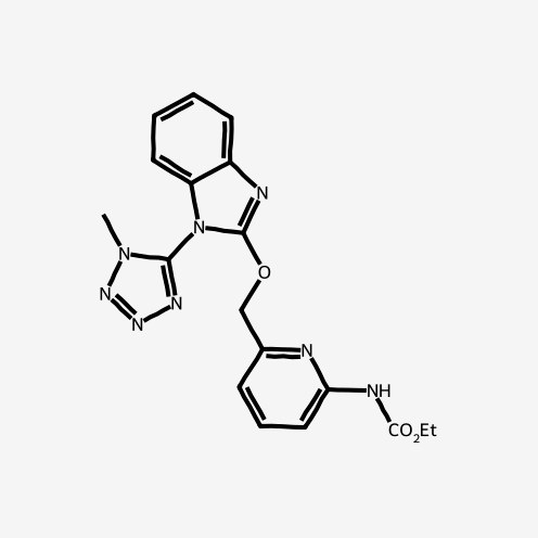 CCOC(=O)Nc1cccc(COc2nc3ccccc3n2-c2nnnn2C)n1